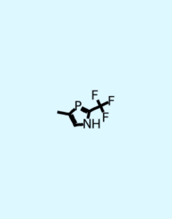 Cc1c[nH]c(C(F)(F)F)p1